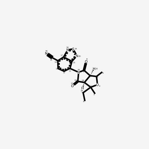 CCC1(C)OC(C)[C@@H]2C(=O)N(c3ccc(C#N)c4nsnc34)C(=O)[C@@H]21